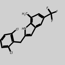 Cc1cc(C(F)(F)F)cc2cc(Cc3c(Cl)[c]ccc3Cl)[nH]c12